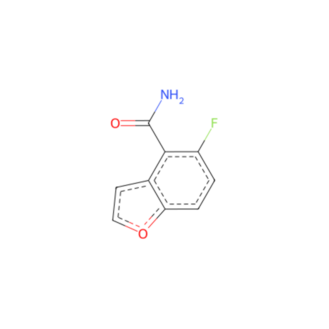 NC(=O)c1c(F)ccc2occc12